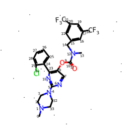 CN1CCN(c2ncc(OC(=O)N(C)Cc3cc(C(F)(F)F)cc(C(F)(F)F)c3)c(-c3ccccc3Cl)n2)CC1